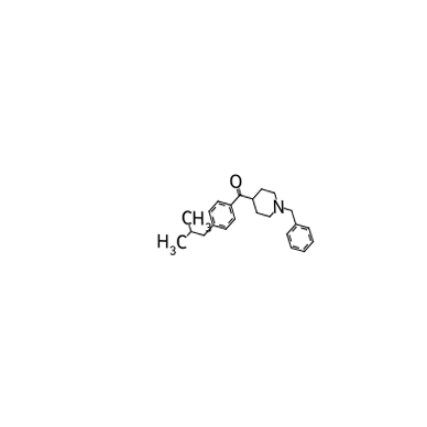 CC(C)Cc1ccc(C(=O)C2CCN(Cc3ccccc3)CC2)cc1